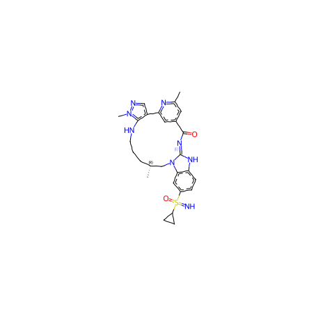 Cc1cc2cc(n1)-c1cnn(C)c1NCCC[C@@H](C)CN1/C(=N/C2=O)Nc2ccc(S(=N)(=O)C3CC3)cc21